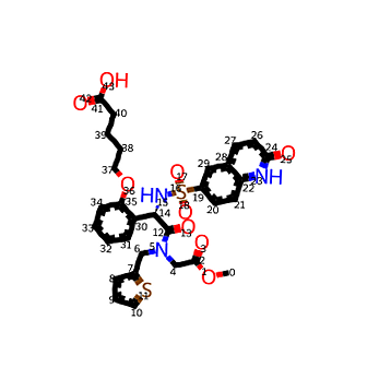 COC(=O)CN(Cc1cccs1)C(=O)[C@@H](NS(=O)(=O)c1ccc2[nH]c(=O)ccc2c1)c1ccccc1OCCCCC(=O)O